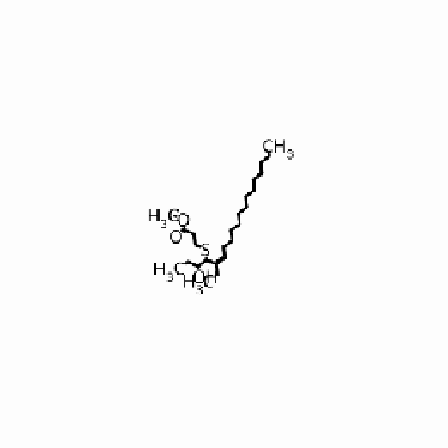 CCCCCCCCCCCCCC=C(CC)[C@@H](SCCC(=O)OC)[C@@H](O)CC